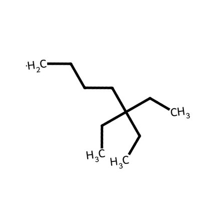 [CH2]CCCC(CC)(CC)CC